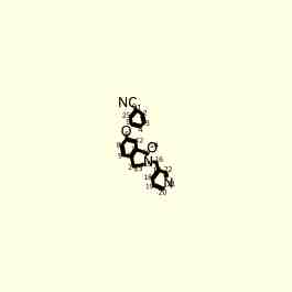 N#Cc1cccc(Oc2ccc3c(c2)C(=O)N(Cc2cccnc2)CC3)c1